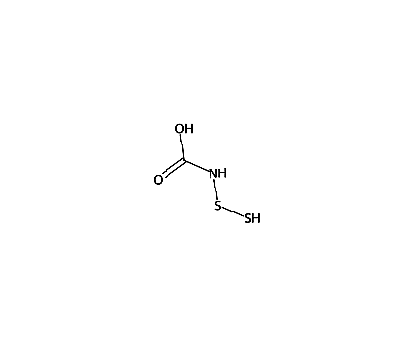 O=C(O)NSS